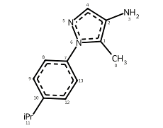 Cc1c(N)cnn1-c1ccc(C(C)C)cc1